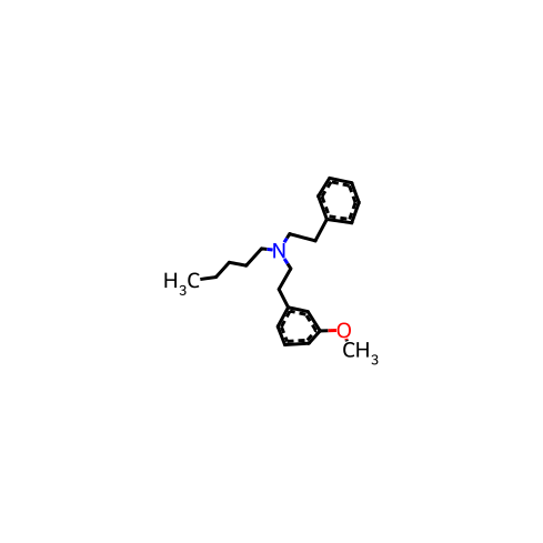 CCCCCN(CCc1ccccc1)CCc1cccc(OC)c1